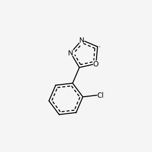 Clc1ccccc1-c1nn[c]o1